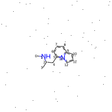 CNC(C)Cc1cccc2cccn12